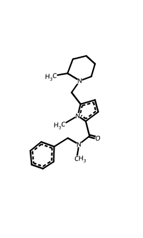 CC1CCCCN1Cc1ccc(C(=O)N(C)Cc2ccccc2)n1C